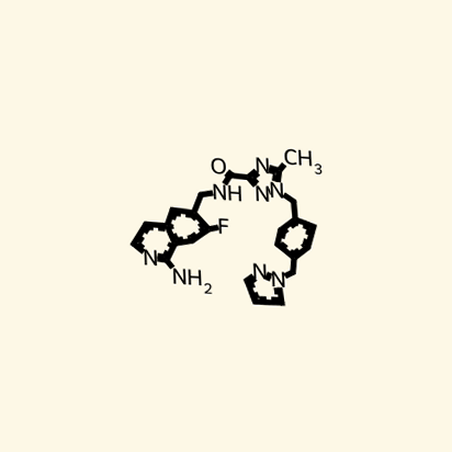 Cc1nc(C(=O)NCc2cc3ccnc(N)c3cc2F)nn1Cc1ccc(Cn2cccn2)cc1